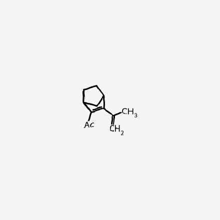 C=C(C)C1=C(C(C)=O)C2CCC1C2